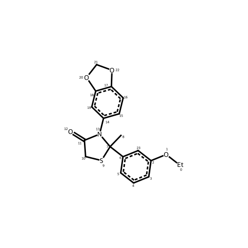 CCOc1cccc(C2(C)SCC(=O)N2c2ccc3c(c2)OCO3)c1